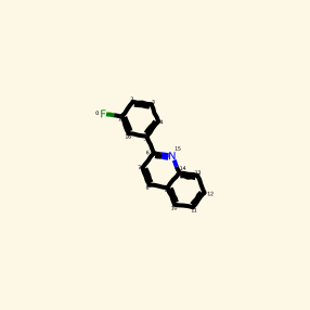 Fc1cccc(-c2ccc3ccccc3n2)c1